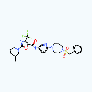 CC1CCCN(c2nc(C(F)(F)F)c(C(=O)Nc3ccc(N4CCCN(S(=O)(=O)Cc5ccccc5)CC4)nc3)o2)C1